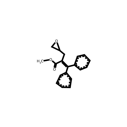 COC(=O)C(CC1CO1)=C(c1ccccc1)c1ccccc1